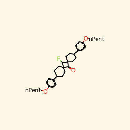 CCCCCOc1ccc(C2CCC3(CC2)C(=O)C2(CCC(c4ccc(OCCCCC)cc4)CC2)C3F)cc1